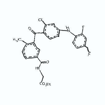 CCOC(=O)CNC(=O)c1ccc(C)c(C(=O)c2ccc(Nc3ccc(F)cc3F)cc2Cl)c1